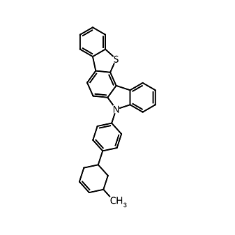 CC1C=CCC(c2ccc(-n3c4ccccc4c4c5sc6ccccc6c5ccc43)cc2)C1